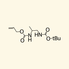 C=CCOC(=O)NC(C)CNC(=O)OC(C)(C)C